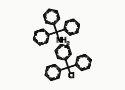 ClC(c1ccccc1)(c1ccccc1)c1ccccc1.NC(c1ccccc1)(c1ccccc1)c1ccccc1